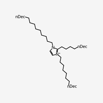 CCCCCCCCCCCCCCCCCCCn1cc[n+](CCCCCCCCCCCCCCCCC)c1CCCCCCCCCCCCCC